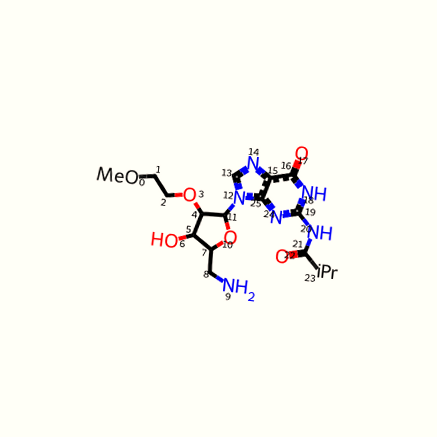 COCCOC1C(O)C(CN)OC1n1cnc2c(=O)[nH]c(NC(=O)C(C)C)nc21